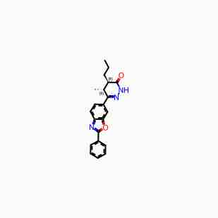 CCC[C@H]1C(=O)NN=C(c2ccc3nc(-c4ccccc4)oc3c2)[C@@H]1C